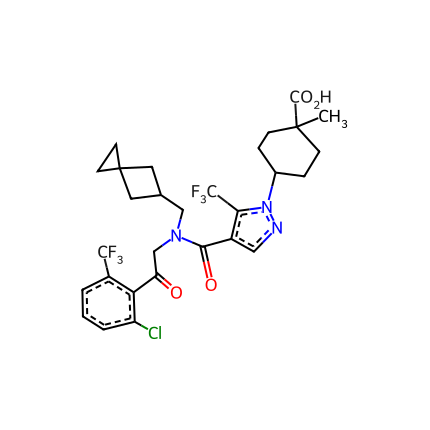 CC1(C(=O)O)CCC(n2ncc(C(=O)N(CC(=O)c3c(Cl)cccc3C(F)(F)F)CC3CC4(CC4)C3)c2C(F)(F)F)CC1